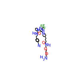 N#Cc1ccc(CCNC(=O)C2CCCN2c2cc(N3CCC(CCCC(=O)NCCOCCOCCN)CC3)nc(C(F)(F)F)n2)cc1